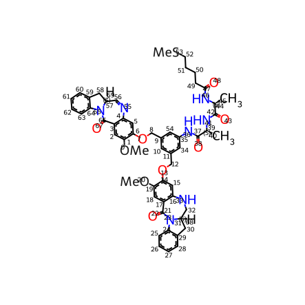 COc1cc2c(cc1OCc1cc(COc3cc4c(cc3OC)C(=O)N3c5ccccc5C[C@H]3CN4)cc(NC(=O)[C@H](C)NC(=O)[C@H](C)NC(=O)CCCCSC)c1)N=C[C@@H]1Cc3ccccc3N1C2=O